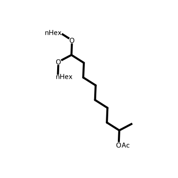 CCCCCCOC(CCCCCCC(C)OC(C)=O)OCCCCCC